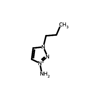 CCCn1cc[n+](N)n1